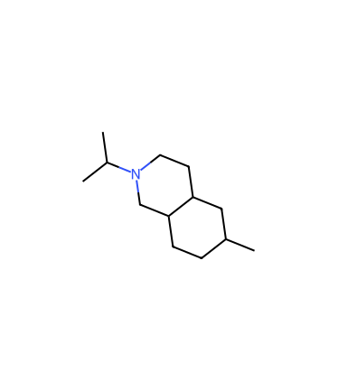 CC1CCC2CN(C(C)C)CCC2C1